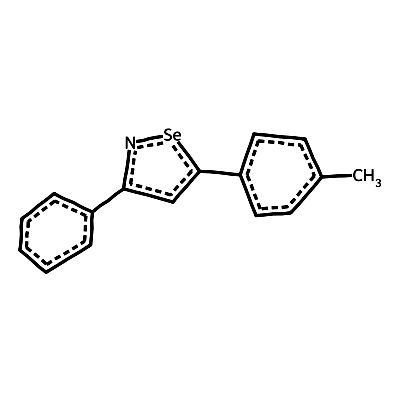 Cc1ccc(-c2cc(-c3ccccc3)n[se]2)cc1